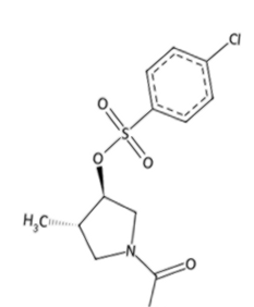 C[C@H]1CN(C(=O)O)C[C@@H]1OS(=O)(=O)c1ccc(Cl)cc1